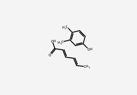 C/C=C/C=C/C(=O)O.Cc1ccc(O)cc1C